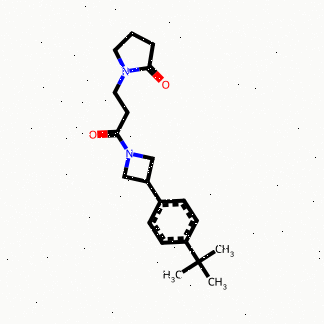 CC(C)(C)c1ccc(C2CN(C(=O)CCN3CCCC3=O)C2)cc1